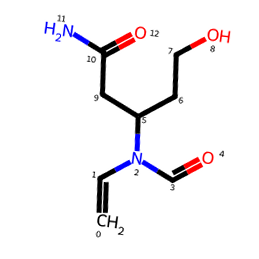 C=CN(C=O)C(CCO)CC(N)=O